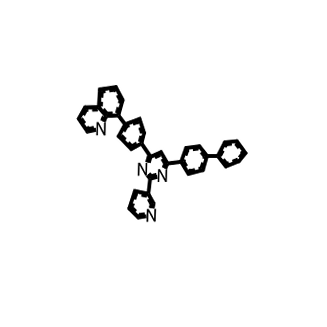 c1ccc(-c2ccc(-c3cc(-c4ccc(-c5cccc6cccnc56)cc4)nc(-c4cccnc4)n3)cc2)cc1